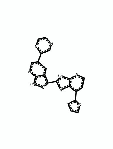 c1csc(-c2ccnc3[nH]c(-c4n[nH]c5ncc(-c6cnccn6)cc45)nc23)c1